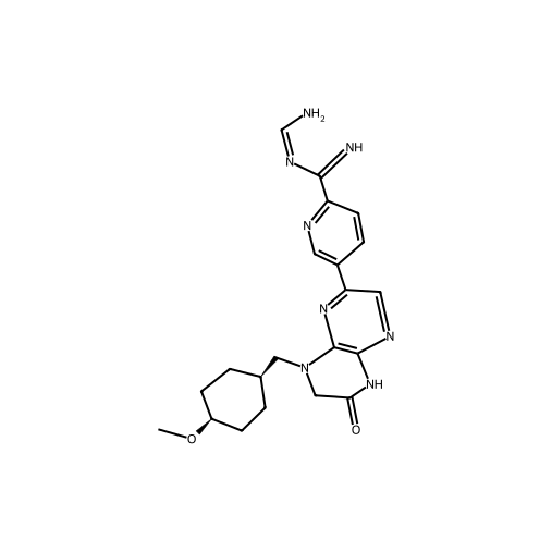 CO[C@H]1CC[C@@H](CN2CC(=O)Nc3ncc(-c4ccc(C(=N)/N=C\N)nc4)nc32)CC1